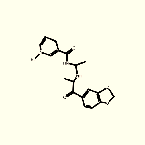 CCN1C=CCC(C(=O)NC(C)NC(C)C(=O)c2ccc3c(c2)OCO3)=C1